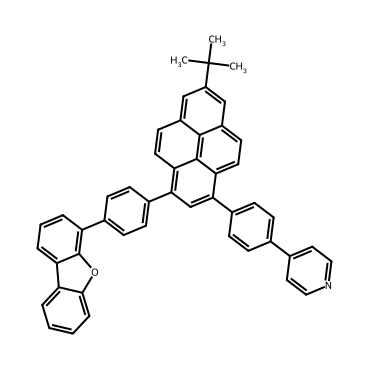 CC(C)(C)c1cc2ccc3c(-c4ccc(-c5ccncc5)cc4)cc(-c4ccc(-c5cccc6c5oc5ccccc56)cc4)c4ccc(c1)c2c34